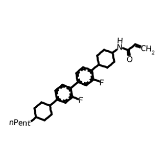 C=CC(=O)NC1CCC(c2ccc(-c3ccc(C4CCC(CCCCC)CC4)cc3F)cc2F)CC1